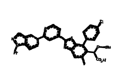 Cc1cc2nc(-c3ccnc(-c4ccc5c(cnn5C(C)C)c4)c3)sc2c(-c2ccc(Cl)cc2)c1C(OC(C)(C)C)C(=O)O